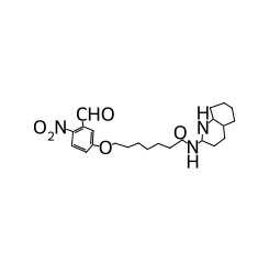 O=Cc1cc(OCCCCCCC(=O)NC2CCC3CCCCC3N2)ccc1[N+](=O)[O-]